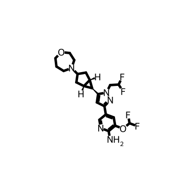 Nc1ncc(-c2cc([C@H]3[C@@H]4CC(N5CCCOCC5)C[C@@H]43)n(CC(F)F)n2)cc1OC(F)F